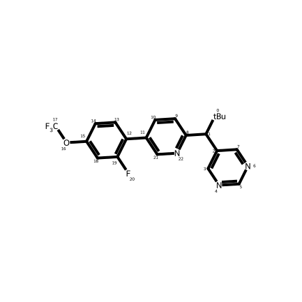 CC(C)(C)C(c1cncnc1)c1ccc(-c2ccc(OC(F)(F)F)cc2F)cn1